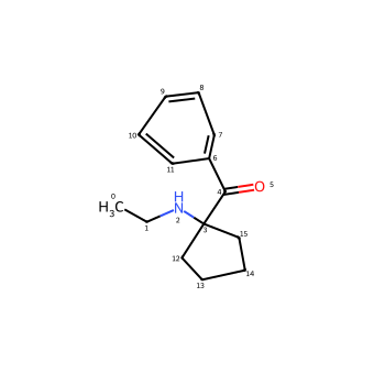 CCNC1(C(=O)c2ccccc2)CCCC1